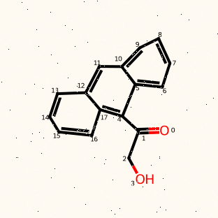 O=C(CO)c1c2ccccc2cc2ccccc12